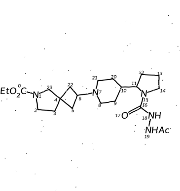 CCOC(=O)N1CCC2(CC(N3CCC(C4CCCN4C(=O)NNC(C)=O)CC3)C2)C1